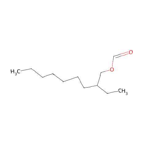 CCCCCCCC(CC)COC=O